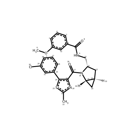 COc1cccc(C(=O)NC[C@@H]2C[C@H]3C[C@@H]3N2C(=O)c2nc(C)sc2-c2cccc(Cl)c2)c1